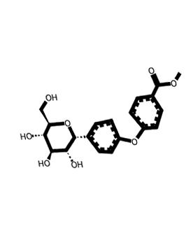 COC(=O)c1ccc(Oc2ccc([C@H]3O[C@H](CO)[C@@H](O)[C@H](O)[C@H]3O)cc2)cc1